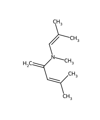 C=C(C=C(C)C)N(C)C=C(C)C